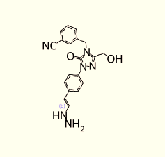 N#Cc1cccc(Cn2c(CO)nn(-c3ccc(/C=C/NN)cc3)c2=O)c1